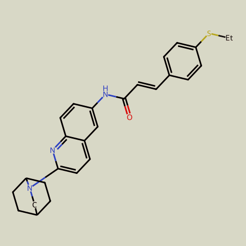 CCSc1ccc(C=CC(=O)Nc2ccc3nc(N4CC5CCC4CC5)ccc3c2)cc1